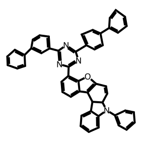 C1=CC2C(c3ccccc3N2c2ccccc2)c2c1oc1c(-c3nc(-c4ccc(-c5ccccc5)cc4)nc(-c4cccc(-c5ccccc5)c4)n3)cccc21